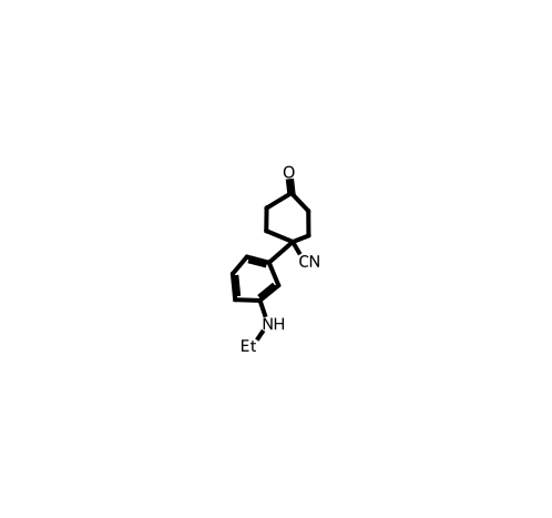 CCNc1cccc(C2(C#N)CCC(=O)CC2)c1